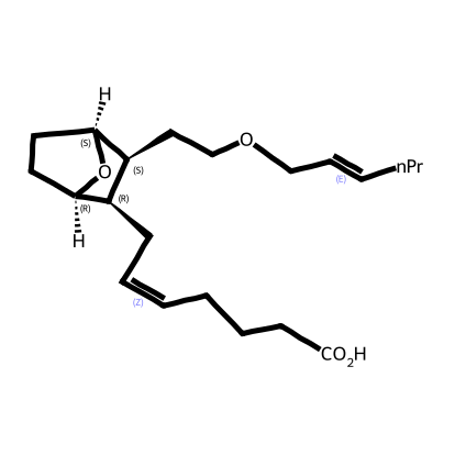 CCC/C=C/COCC[C@H]1[C@@H](C/C=C\CCCC(=O)O)[C@H]2CC[C@@H]1O2